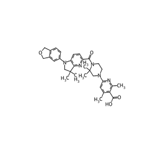 Cc1cc(N2CCN(C(=O)c3ccc4c(n3)C(C)(C)CN4c3ccc4c(c3)COC4)C(C)(C)C2)nc(C)c1C(=O)O